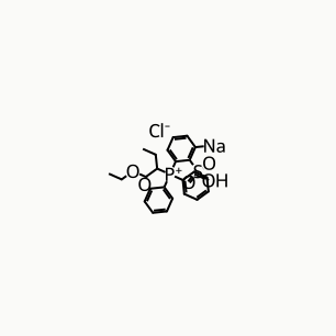 CCOC(=O)C(CC)[P+](c1ccccc1)(c1ccccc1)c1ccc[c]([Na])c1S(=O)(=O)O.[Cl-]